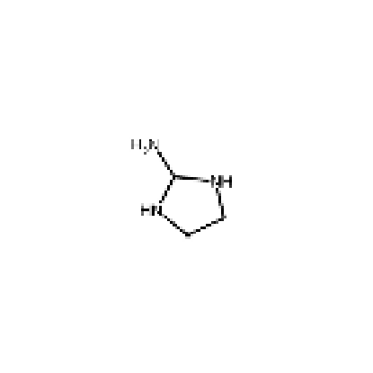 NC1N[C]CN1